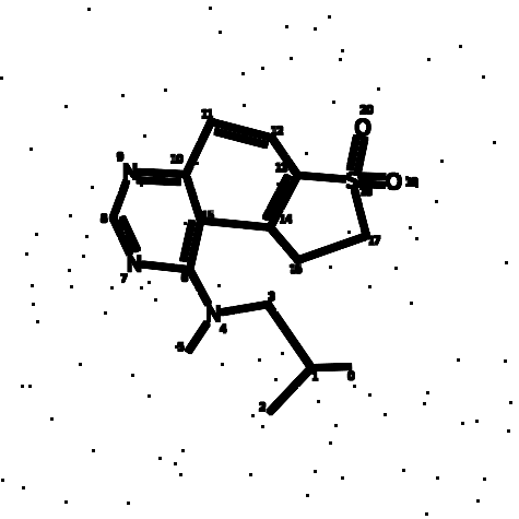 CC(C)CN(C)c1ncnc2ccc3c(c12)CCS3(=O)=O